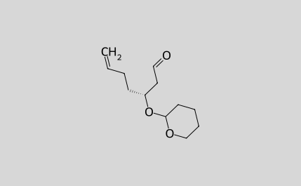 C=CCC[C@H](CC=O)OC1CCCCO1